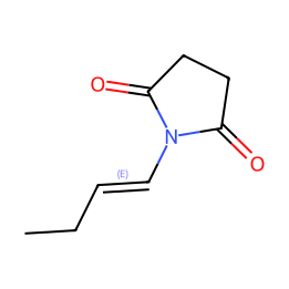 CC/C=C/N1C(=O)CCC1=O